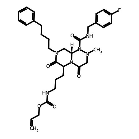 C=CCOC(=O)NCCC[C@H]1C(=O)N(CCCCc2ccccc2)C[C@H]2N1C(=O)CN(C)N2C(=O)NCc1ccc(F)cc1